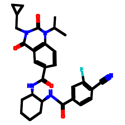 CC(C)n1c(=O)n(CC2CC2)c(=O)c2cc(C(=O)N[C@H]3CCCC[C@@H]3NC(=O)c3ccc(C#N)c(F)c3)ccc21